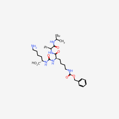 CC(C)C(NC(=O)[C@@H](CCCCNC(=O)OCc1ccccc1)NC(=O)N[C@@H](CCCCN)C(=O)O)C(=O)NC(C)C(C)(C)C